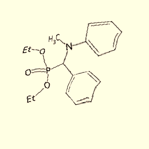 CCOP(=O)(OCC)C(c1ccccc1)N(C)c1ccccc1